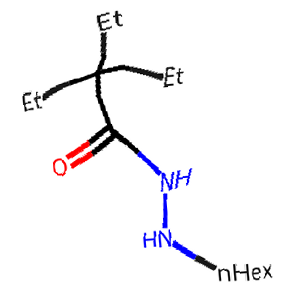 CCCCCCNNC(=O)C(CC)(CC)CC